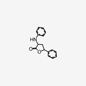 O=C1OC(c2ccccc2)CC1Nc1ccccc1